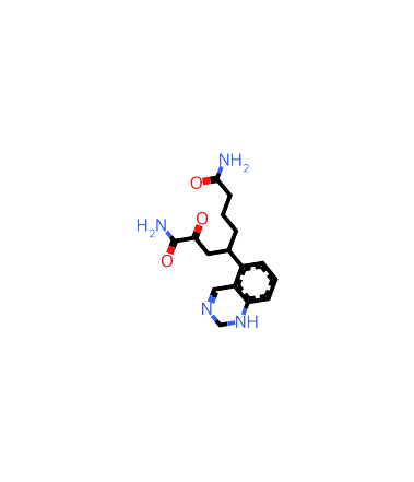 NC(=O)CCCC(CC(=O)C(N)=O)c1cccc2c1C=NCN2